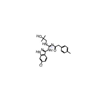 Cc1ccc(CC(=O)/N=C(/NCC(C)(C)O)Nc2n[nH]c3cc(Cl)ccc23)cc1